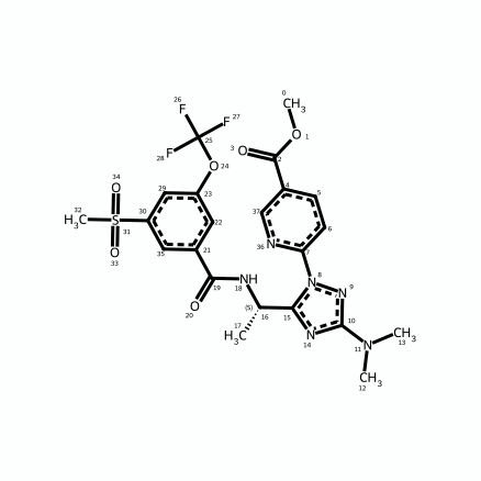 COC(=O)c1ccc(-n2nc(N(C)C)nc2[C@H](C)NC(=O)c2cc(OC(F)(F)F)cc(S(C)(=O)=O)c2)nc1